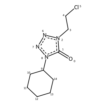 O=c1n(CCCl)nnn1C1CCCCC1